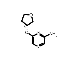 Nc1cncc(O[C@@H]2CCOC2)n1